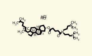 CC(C)CCC[C@@H](C)[C@H]1CC[C@H]2[C@@H]3CC=C4C[C@@H](OC(=O)CCCC(=O)N(CCCN(C)C)CCCN(C)C)CC[C@]4(C)[C@H]3CC[C@]12C.Cl.Cl